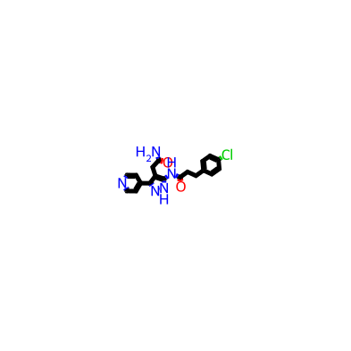 NC(=O)Cc1c(-c2ccncc2)n[nH]c1NC(=O)CCc1ccc(Cl)cc1